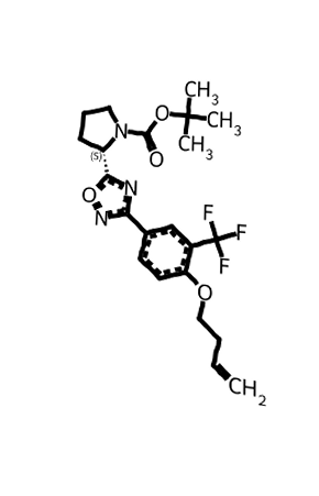 C=CCCOc1ccc(-c2noc([C@@H]3CCCN3C(=O)OC(C)(C)C)n2)cc1C(F)(F)F